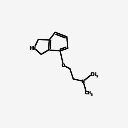 CN(C)CCOc1cccc2c1CNC2